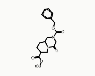 CC(C)(C)OC(=O)C1CCC2CN(C(=O)OCc3ccccc3)CC(=O)N2C1